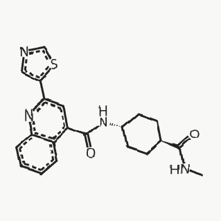 CNC(=O)[C@H]1CC[C@H](NC(=O)c2cc(-c3cncs3)nc3ccccc23)CC1